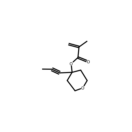 C=C(C)C(=O)OC1(C#CC)CCOCC1